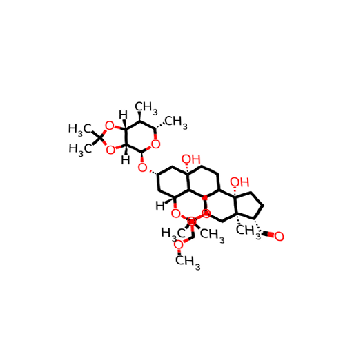 COCO[C@@H]1C[C@]2(C)[C@@H](C=O)CC[C@]2(O)C2CC[C@]3(O)C[C@@H](O[C@@H]4O[C@@H](C)[C@H](C)[C@H]5OC(C)(C)O[C@@H]45)C[C@H]4OC(C)(C)OC[C@]43C21